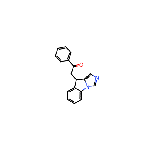 O=C(CC1c2ccccc2-n2cncc21)c1ccccc1